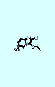 CCSc1c(Cl)nc2ccc(Br)cn12